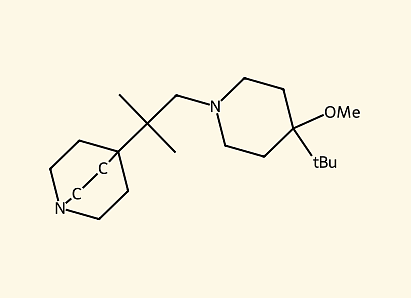 COC1(C(C)(C)C)CCN(CC(C)(C)C23CCN(CC2)CC3)CC1